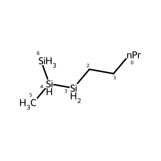 CCCCC[SiH2][SiH](C)[SiH3]